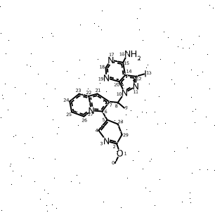 COC1=NC=C(c2c(C(C)n3nc(I)c4c(N)ncnc43)cc3ccccn23)CC1